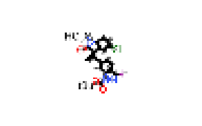 CC(C)(C)OC(=O)n1nc(I)c2ccc(C3CC34C(=O)N(C(=O)O)c3ccc(Cl)cc34)cc21